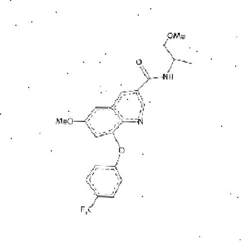 COCC(C)NC(=O)c1cnc2c(Oc3ccc(C(F)(F)F)cc3)cc(OC)cc2c1